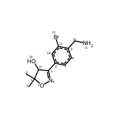 CC1(C)ON=C(c2ccc(CN)c(Br)c2)C1O